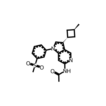 CC(=O)Nc1cc2c(cn1)c([C@H]1C[C@H](C)C1)cn2-c1cccc(S(C)(=O)=O)c1